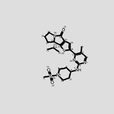 Cc1cnc(NC2CCN(S(C)(=O)=O)CC2)nc1-c1cc2c(s1)[C@@]1(C(C)C)CCCN1C2=O